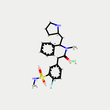 CNS(=O)(=O)c1cc(CC(=O)N(C)C(CC2CCCN2)c2ccccc2)ccc1F.Cl